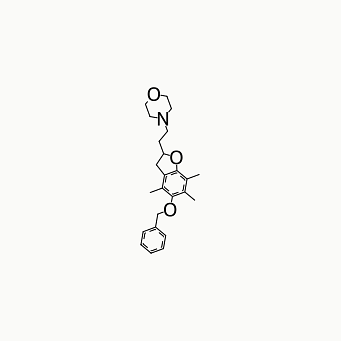 Cc1c(C)c2c(c(C)c1OCc1ccccc1)CC(CCN1CCOCC1)O2